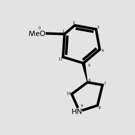 COc1cccc([C@H]2CCNC2)c1